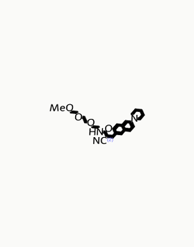 COCCOCCOCCNC(=O)/C(C#N)=C\c1ccc2cc(N3CCCCC3)ccc2c1